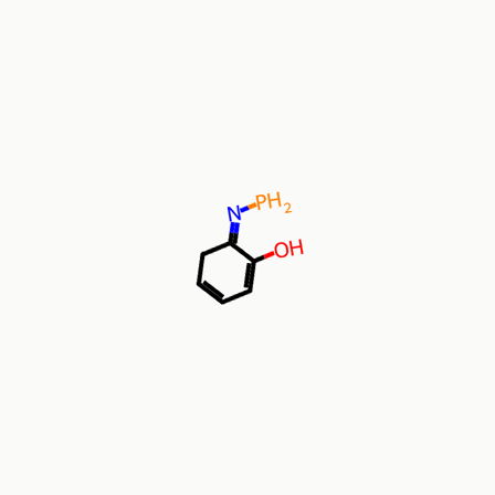 OC1=CC=CCC1=NP